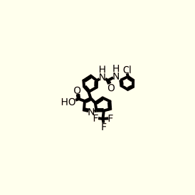 O=C(Nc1cccc(-c2c(C(=O)O)cnc3c(C(F)(F)F)cccc23)c1)Nc1ccccc1Cl